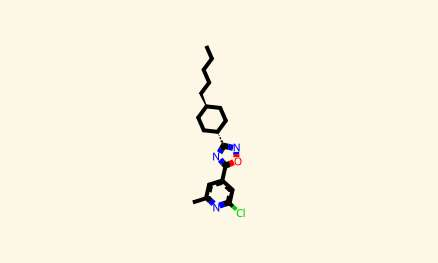 CCCCC[C@H]1CC[C@H](c2noc(-c3cc(C)nc(Cl)c3)n2)CC1